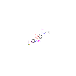 CCOc1cc(NC(=O)C(O)C2CCC2)ccc1S(=O)(=O)Nc1cccc(OC(F)(F)P)c1